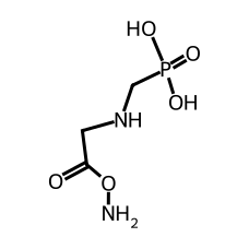 NOC(=O)CNCP(=O)(O)O